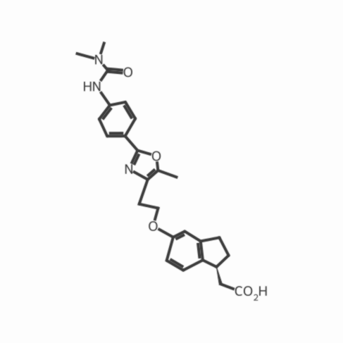 Cc1oc(-c2ccc(NC(=O)N(C)C)cc2)nc1CCOc1ccc2c(c1)CC[C@H]2CC(=O)O